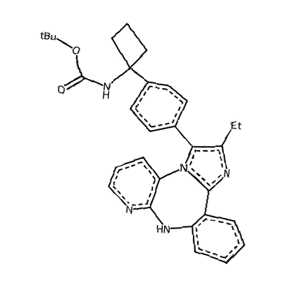 CCc1nc2n(c1-c1ccc(C3(NC(=O)OC(C)(C)C)CCC3)cc1)-c1cccnc1Nc1ccccc1-2